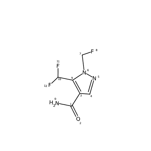 NC(=O)c1cnn(CF)c1C(F)F